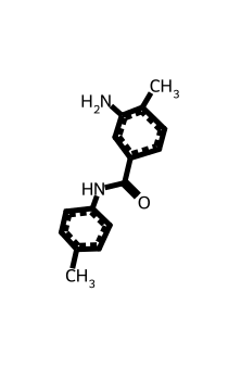 Cc1ccc(NC(=O)c2ccc(C)c(N)c2)cc1